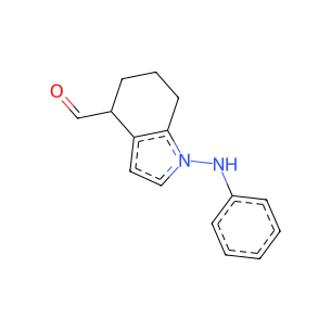 O=CC1CCCc2c1ccn2Nc1ccccc1